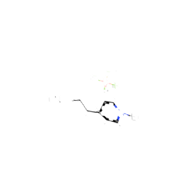 CCCCCCCCCCCc1cc[n+](CC)cc1.F[B-](F)(F)F